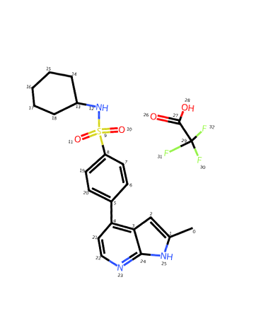 Cc1cc2c(-c3ccc(S(=O)(=O)NC4CCCCC4)cc3)ccnc2[nH]1.O=C(O)C(F)(F)F